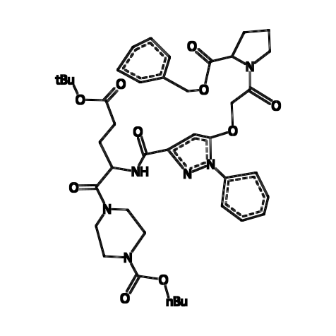 CCCCOC(=O)N1CCN(C(=O)C(CCC(=O)OC(C)(C)C)NC(=O)c2cc(OCC(=O)N3CCCC3C(=O)OCc3ccccc3)n(-c3ccccc3)n2)CC1